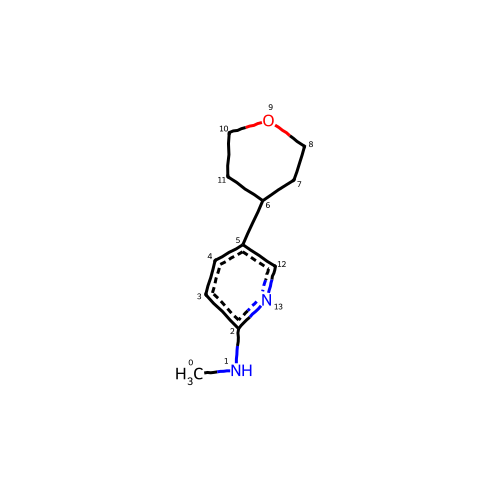 CNc1ccc(C2CCOCC2)cn1